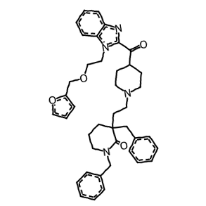 O=C(c1nc2ccccc2n1CCOCc1ccco1)C1CCN(CCC2(Cc3ccccc3)CCCN(Cc3ccccc3)C2=O)CC1